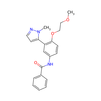 COCCOc1ccc(NC(=O)c2ccccc2)cc1-c1ccnn1C